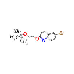 CC(C)(C)[Si](C)(C)OCCOc1ccc2cc(Br)ccc2n1